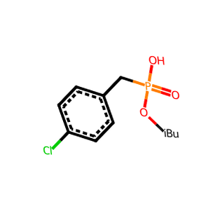 CCC(C)OP(=O)(O)Cc1ccc(Cl)cc1